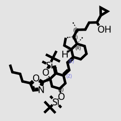 C=C1/C(=C\C=C2/CCC[C@]3(C)[C@@H]([C@H](C)CCC(O)C4CC4)CC[C@@H]23)C[C@@H](O[Si](C)(C)C(C)(C)C)C[C@@]1(O[Si](C)(C)C(C)(C)C)c1ncc(CCCC)o1